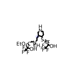 CCOC(=O)CN(C)C/C=C1/CNCCC1SC(C)=O.O=C(O)C(F)(F)F.O=C(O)C(F)(F)F